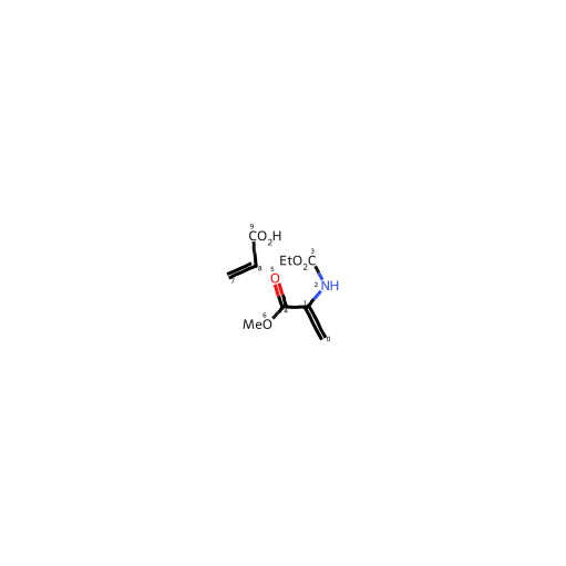 C=C(NC(=O)OCC)C(=O)OC.C=CC(=O)O